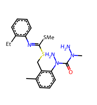 CCc1ccccc1/N=C(\SC)SCc1c(C)cccc1N(N)C(=O)N(C)N